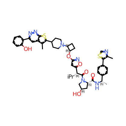 Cc1ncsc1-c1ccc([C@H](C)NC(=O)[C@@H]2C[C@@H](O)CN2C(=O)[C@@H](c2cc(O[C@@H]3CC[C@@H]3N3CCC(c4sc5nnc(-c6ccccc6O)cc5c4C)CC3)no2)C(C)C)cc1